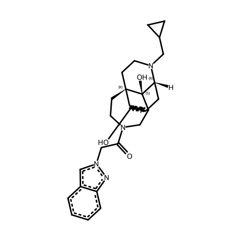 O=C(Cn1cc2ccccc2n1)N1CC[C@]23CCN(CC4CC4)[C@H](Cc4ccc(O)cc42)[C@]3(O)CC1